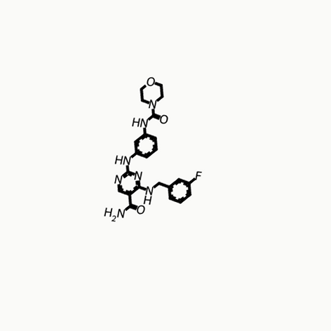 NC(=O)c1cnc(Nc2cccc(NC(=O)N3CCOCC3)c2)nc1NCc1cccc(F)c1